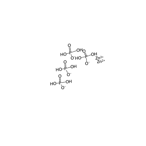 O=P([O-])(O)O.O=P([O-])(O)O.O=P([O-])(O)O.O=P([O-])(O)O.[Zn+2].[Zn+2]